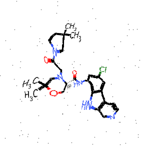 CC1(C)CCN(C(=O)CN2CC(C)(C)OC[C@H]2C(=O)Nc2cc(Cl)cc3c2[nH]c2cnccc23)C1